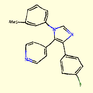 CSc1cccc(-n2cnc(-c3ccc(F)cc3)c2-c2ccncc2)c1